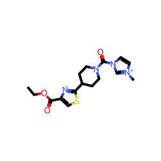 CCOC(=O)c1csc(C2CCN(C(=O)n3cc[n+](C)c3)CC2)n1